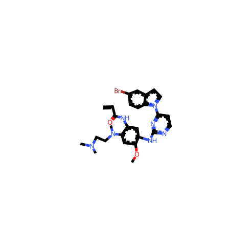 C=CC(=O)Nc1cc(Nc2nccc(-n3ccc4cc(Br)ccc43)n2)c(OC)cc1N(C)CCN(C)C